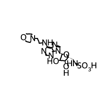 O=S(=O)(O)NC[C@H]1O[C@@H](n2cnc3c(NCCN4CCOCC4)ncnc32)[C@H](O)[C@@H]1O